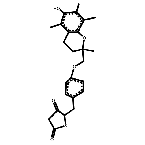 Cc1c(C)c2c(c(C)c1O)CCC(C)(COc1ccc(CC3SC(=O)CC3=O)cc1)O2